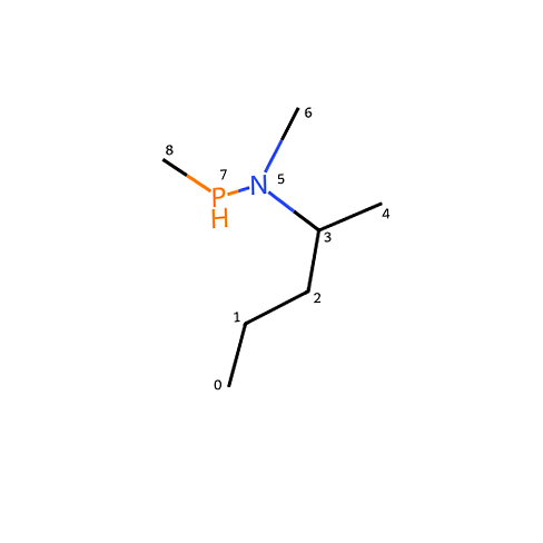 CCCC(C)N(C)PC